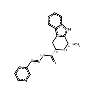 C[C@@H]1N[C@H](C(=O)N/N=C/c2cccnc2)Cc2c1[nH]c1ccccc21